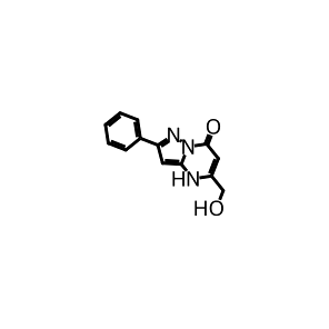 O=c1cc(CO)[nH]c2cc(-c3ccccc3)nn12